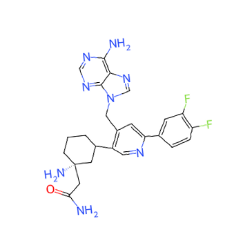 NC(=O)C[C@@]1(N)CCCC(c2cnc(-c3ccc(F)c(F)c3)cc2Cn2cnc3c(N)ncnc32)C1